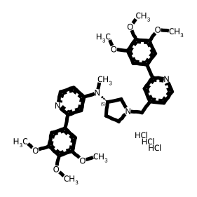 COc1cc(-c2cc(CN3CC[C@H](N(C)c4ccnc(-c5cc(OC)c(OC)c(OC)c5)c4)C3)ccn2)cc(OC)c1OC.Cl.Cl.Cl